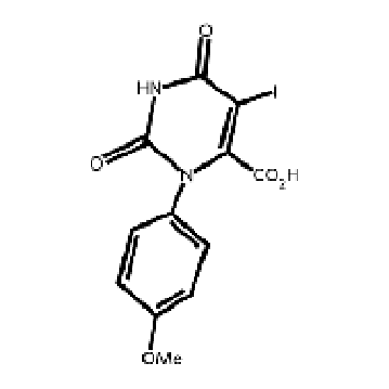 COc1ccc(-n2c(C(=O)O)c(I)c(=O)[nH]c2=O)cc1